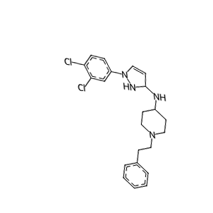 Clc1ccc(N2C=CC(NC3CCN(CCc4ccccc4)CC3)N2)cc1Cl